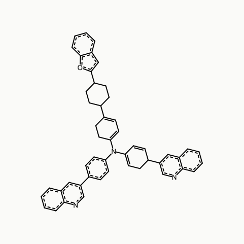 C1=CC(c2cnc3ccccc3c2)CC=C1N(C1=CC=C(C2CCC(c3cc4ccccc4o3)CC2)CC1)c1ccc(-c2cnc3ccccc3c2)cc1